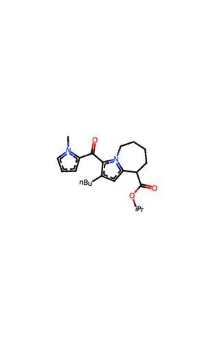 CCCCc1cc2n(c1C(=O)c1cccn1C)CCCCC2C(=O)OC(C)C